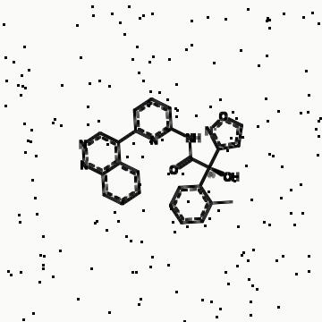 Cc1ccccc1[C@](O)(C(=O)Nc1cccc(-c2cnnc3ccccc23)n1)c1ccon1